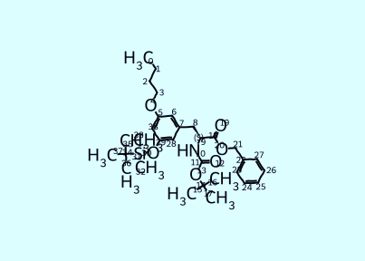 CCCCOc1cc(C[C@H](NC(=O)OC(C)(C)C)C(=O)OCc2ccccc2)cc(O[Si](C)(C)C(C)(C)C)c1